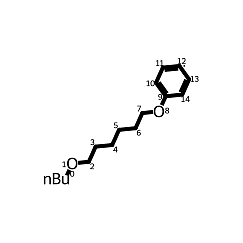 CCCCOCCCCCCOc1cc[c]cc1